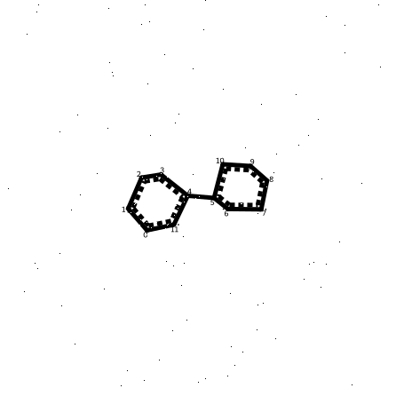 [c]1[c]ccc(-c2[c][c]ccc2)[c]1